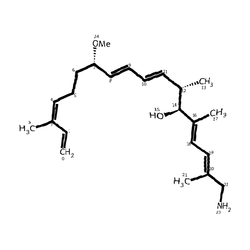 C=C/C(C)=C\CC[C@@H](/C=C/C=C/[C@H](C)[C@H](O)/C(C)=C/C=C(\C)CN)OC